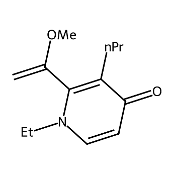 C=C(OC)c1c(CCC)c(=O)ccn1CC